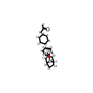 CC(=O)C[C@H]1CC[C@H](c2cnc(N3C4CCC3CN(C)C4)nc2)CC1